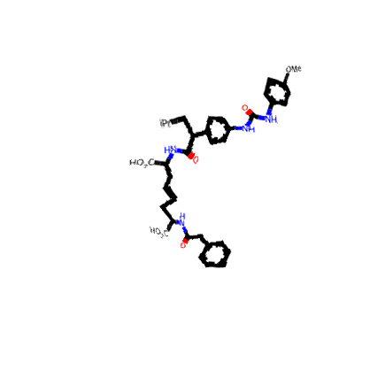 COc1ccc(NC(=O)Nc2ccc(C(CC(C)C)C(=O)NC(CC=CCC(NC(=O)Cc3ccccc3)C(=O)O)C(=O)O)cc2)cc1